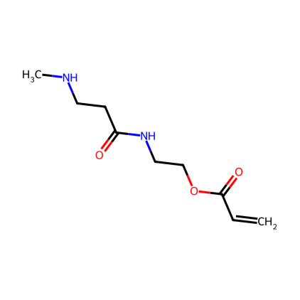 C=CC(=O)OCCNC(=O)CCNC